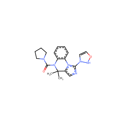 CC1(C)c2cnc(N3C=CON3)n2-c2ccccc2N1C(=O)N1CCCC1